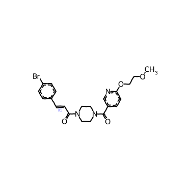 COCCOc1ccc(C(=O)N2CCN(C(=O)/C=C/c3ccc(Br)cc3)CC2)cn1